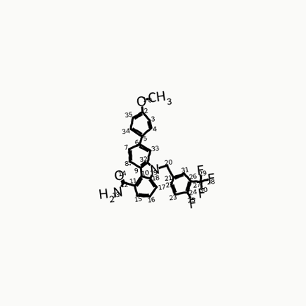 COc1ccc(-c2c[c]c3c4c(C(N)=O)cccc4n(Cc4ccc(F)c(C(F)(F)F)c4)c3c2)cc1